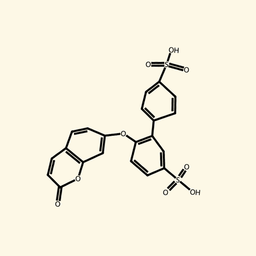 O=c1ccc2ccc(Oc3ccc(S(=O)(=O)O)cc3-c3ccc(S(=O)(=O)O)cc3)cc2o1